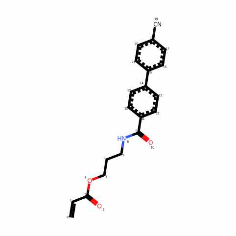 C=CC(=O)OCCCNC(=O)c1ccc(-c2ccc(C#N)cc2)cc1